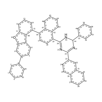 c1ccc(-c2ccc3c(c2)oc2cccc(-c4ccc(C5=NC(c6ccc7ccccc7c6)=NC(c6ccccc6)N5)c5ccccc45)c23)cc1